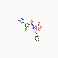 Cc1nn(C)c(C)c1-c1cc(Br)cc(C(=O)NC[C@@H](NC(=O)OCc2ccccc2)C(=O)O)c1